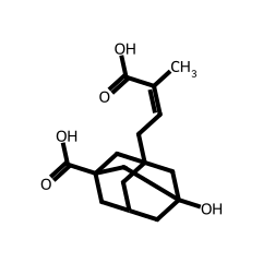 CC(=CCC12CC3CC(O)(C1)CC(C(=O)O)(C3)C2)C(=O)O